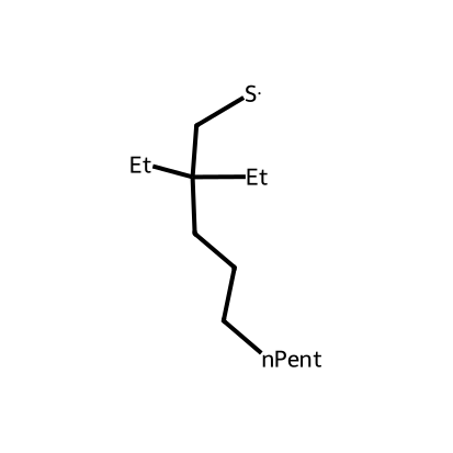 CCCCCCCCC(CC)(CC)C[S]